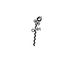 CCCCCCCCCC(=O)NCCCS(=O)(=O)c1ccncc1